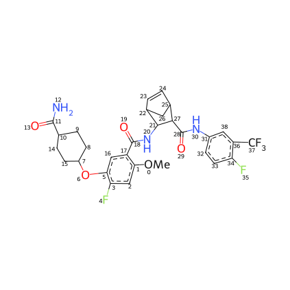 COc1cc(F)c(OC2CCC(C(N)=O)CC2)cc1C(=O)NC1C2C=CC(C2)C1C(=O)Nc1ccc(F)c(C(F)(F)F)c1